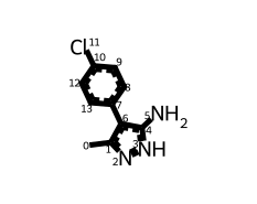 Cc1n[nH]c(N)c1-c1ccc(Cl)cc1